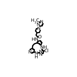 Cc1nccc(N2CCC(CC(=O)Nc3ccc4cc3CCc3cncc(c3)Nc3ncc(Cl)c(n3)N4)CC2)n1